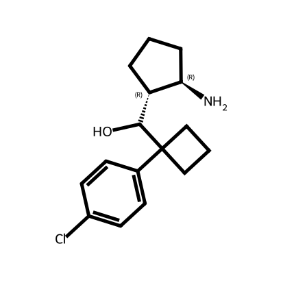 N[C@@H]1CCC[C@H]1C(O)C1(c2ccc(Cl)cc2)CCC1